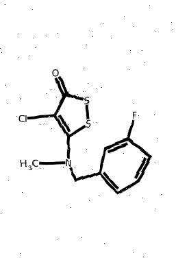 CN(Cc1cccc(F)c1)c1ssc(=O)c1Cl